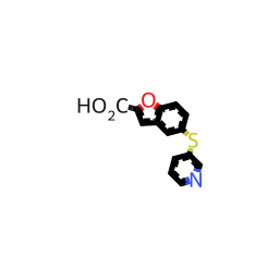 O=C(O)c1cc2cc(Sc3cccnc3)ccc2o1